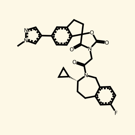 Cn1cc(-c2ccc3c(c2)CCC32OC(=O)N(CC(=O)N3Cc4ccc(F)cc4CC[C@@H]3C3CC3)C2=O)cn1